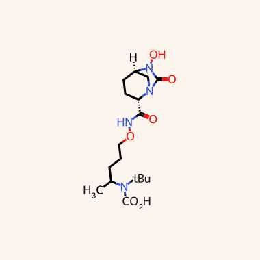 CC(CCCONC(=O)[C@@H]1CC[C@@H]2CN1C(=O)N2O)N(C(=O)O)C(C)(C)C